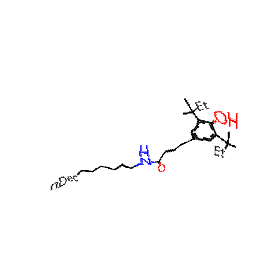 CCCCCCCCCCCCCCCCNC(=O)CCc1cc(C(C)(C)CC)c(O)c(C(C)(C)CC)c1